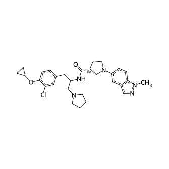 Cn1ncc2cc(N3CC[C@@H](C(=O)NC(Cc4ccc(OC5CC5)c(Cl)c4)CN4CCCC4)C3)ccc21